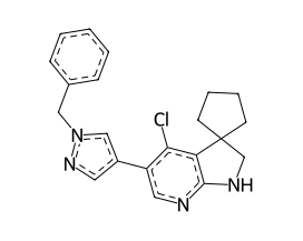 Clc1c(-c2cnn(Cc3ccccc3)c2)cnc2c1C1(CCCC1)CN2